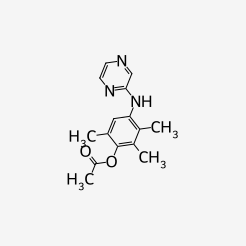 CC(=O)Oc1c(C)cc(Nc2cnccn2)c(C)c1C